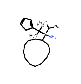 CC(C)[Si](N)(C1CCCCCCCCCCC1)C(C)(C)C1=CC=CC1